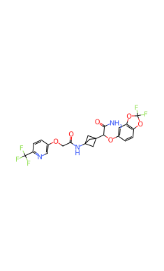 NC(=O)C(Oc1ccc2c(c1)OC(F)(F)O2)C12CC(NC(=O)COc3ccc(C(F)(F)F)nc3)(C1)C2